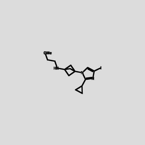 COCCNC12CC(n3cc(I)nc3C3CC3)(C1)C2